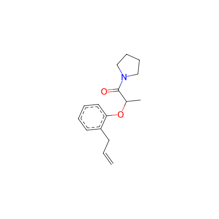 C=CCc1ccccc1OC(C)C(=O)N1CCCC1